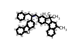 Cc1cc2c(c3ccccc13)-c1ccc(/C=C(/Cc3ccccc3)c3ccc4oc5ccccc5c4c3)cc1C2(C)C